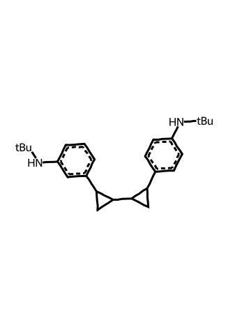 CC(C)(C)Nc1ccc(C2CC2C2CC2c2cccc(NC(C)(C)C)c2)cc1